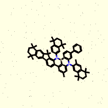 Cc1cc2c3c(c1)N(c1cc4c(cc1C)C(C)(C)CCC4(C)C)c1cc(-c4ccccc4)ccc1B3N(c1ccc3c(c1)C(C)(C)CCC3(C)C)c1c-2ccc2c1C(C)(C)c1cc3c(cc1-2)C(C)(C)CCC3(C)C